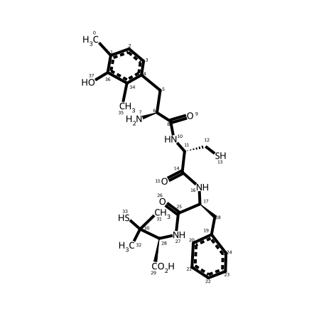 Cc1ccc(C[C@H](N)C(=O)N[C@H](CS)C(=O)N[C@@H](Cc2ccccc2)C(=O)N[C@@H](C(=O)O)C(C)(C)S)c(C)c1O